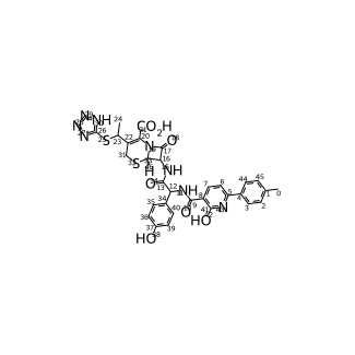 Cc1ccc(-c2ccc(C(=O)NC(C(=O)NC3C(=O)N4C(C(=O)O)=C(C(C)Sc5nnn[nH]5)CS[C@@H]34)c3ccc(O)cc3)c(O)n2)cc1